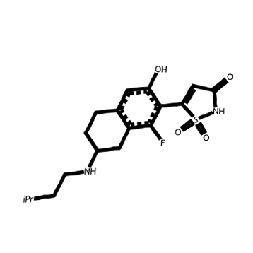 CC(C)CCNC1CCc2cc(O)c(C3=CC(=O)NS3(=O)=O)c(F)c2C1